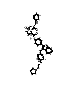 O=C(Nc1ccc(-c2sc3ccccc3c2Cc2ccc(OCCN3CCCC3)cc2)cc1)C1CCS(=O)(=O)N1C(=O)OCc1ccccc1